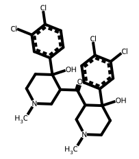 CN1CCC(O)(c2ccc(Cl)c(Cl)c2)C(C(=O)C2CN(C)CCC2(O)c2ccc(Cl)c(Cl)c2)C1